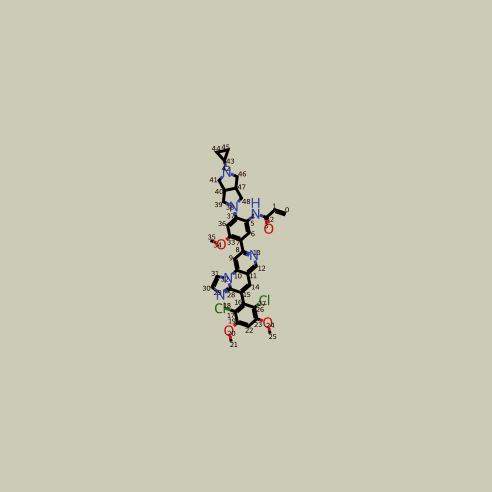 C=CC(=O)Nc1cc(-c2cc3c(cn2)cc(-c2c(Cl)c(OC)cc(OC)c2Cl)c2nccn23)c(OC)cc1N1CC2CN(C3CC3)CC2C1